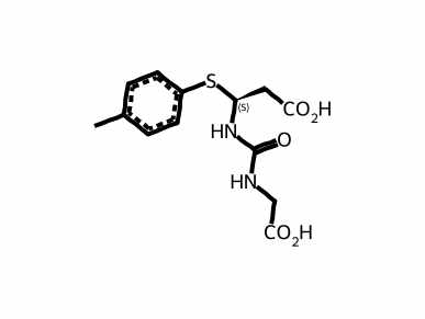 Cc1ccc(S[C@@H](CC(=O)O)NC(=O)NCC(=O)O)cc1